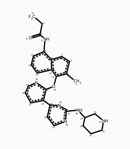 Cc1ccc2c(NC(=O)CC(F)(F)F)cccc2c1Oc1ncccc1-c1ccnc(NC2CCCNC2)n1